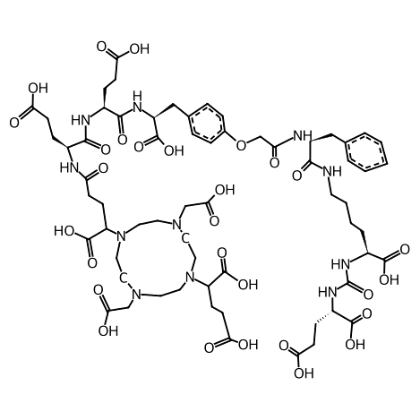 O=C(O)CCC(C(=O)O)N1CCN(CC(=O)O)CCN(C(CCC(=O)N[C@@H](CCC(=O)O)C(=O)N[C@@H](CCC(=O)O)C(=O)N[C@@H](Cc2ccc(OCC(=O)N[C@@H](Cc3ccccc3)C(=O)NCCCC[C@H](NC(=O)N[C@@H](CCC(=O)O)C(=O)O)C(=O)O)cc2)C(=O)O)C(=O)O)CCN(CC(=O)O)CC1